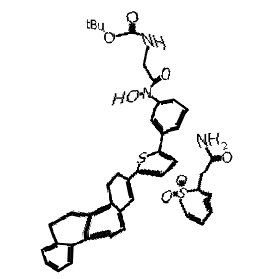 CC(C)(C)OC(=O)NCC(=O)N(O)c1cccc(-c2ccc(C3=Cc4ccc5c(c4CC3)CCc3ccccc3-5)s2)c1.NC(=O)CC1C=CC=CS1(=O)=O